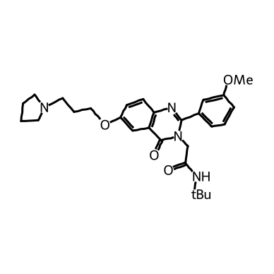 COc1cccc(-c2nc3ccc(OCCCN4CCCC4)cc3c(=O)n2CC(=O)NC(C)(C)C)c1